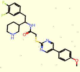 COc1ccc(-c2cnc(SCC(=O)NC(Cc3ccc(F)c(F)c3)C3CCCNC3)nc2)cc1